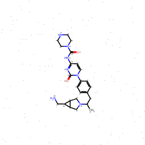 CC(Cc1ccc(-n2ccc(NC(=O)N3CCNCC3)nc2=O)cc1)N1CC2C(CN)C2C1